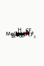 COc1nc(NC(=O)NC(=O)COc2cc(C(F)(F)F)cc(C(F)(F)F)c2)ccc1Br